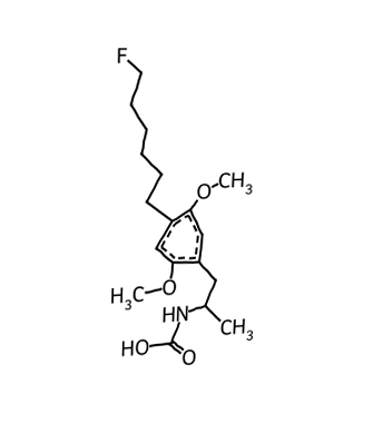 COc1cc(CC(C)NC(=O)O)c(OC)cc1CCCCCCF